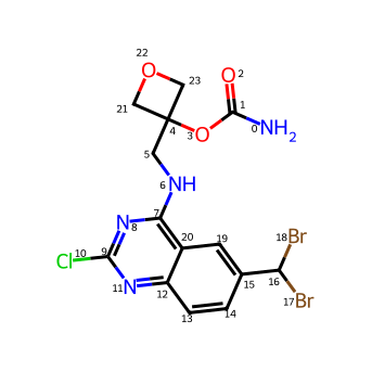 NC(=O)OC1(CNc2nc(Cl)nc3ccc(C(Br)Br)cc23)COC1